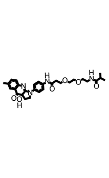 Cc1ccc2c(c1)C(=O)C1(O)CCN(c3ccc(NC(=O)CCOCCOCCNC(=O)C(C)C)cc3)C1=N2